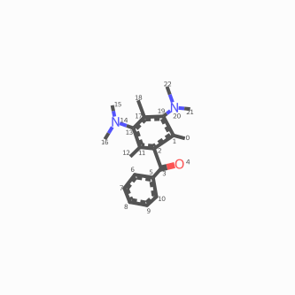 Cc1c(C(=O)c2ccccc2)c(C)c(N(C)C)c(C)c1N(C)C